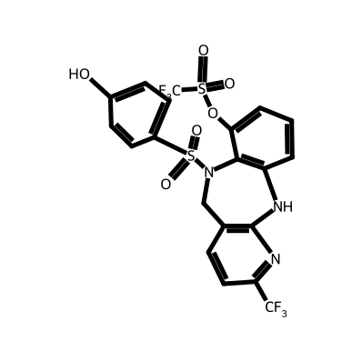 O=S(=O)(c1ccc(O)cc1)N1Cc2ccc(C(F)(F)F)nc2Nc2cccc(OS(=O)(=O)C(F)(F)F)c21